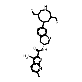 Cc1ccc2c(N)c(C(=O)N[C@H]3COc4cc(C5CC(CF)CNCC(CF)C5)ccc4C3)sc2n1